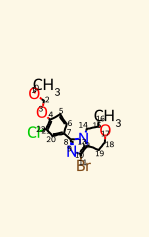 COCOc1ccc(-c2nc(Br)c3n2CC(C)OCC3)cc1Cl